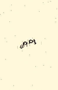 CC(C)n1cnc2cnc(Nc3ccnc(N4CC(F)C(F)C4)n3)cc21